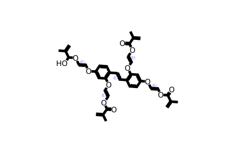 C=C(C)C(=O)O/C=C/Oc1ccc(/C=C/c2ccc(O/C=C/OC(O)C(=C)C)cc2O/C=C/OC(=O)C(=C)C)c(O/C=C/OC(=O)C(=C)C)c1